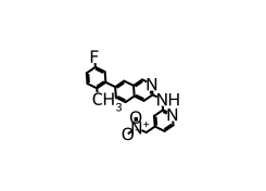 Cc1ccc(F)cc1-c1ccc2cc(Nc3cc(C[N+](=O)[O-])ccn3)ncc2c1